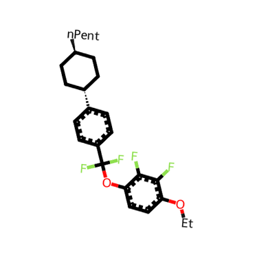 CCCCC[C@H]1CC[C@H](c2ccc(C(F)(F)Oc3ccc(OCC)c(F)c3F)cc2)CC1